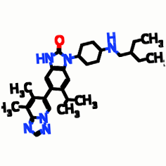 CCC(CC)CNC1CCC(n2c(=O)[nH]c3cc(-c4cn5ncnc5c(C)c4C)c(C(C)C)cc32)CC1